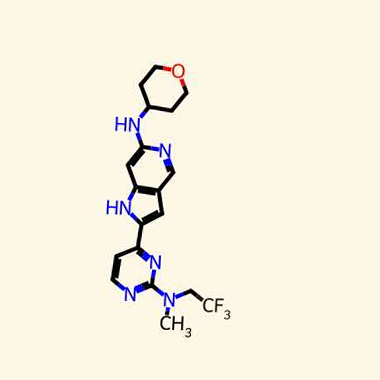 CN(CC(F)(F)F)c1nccc(-c2cc3cnc(NC4CCOCC4)cc3[nH]2)n1